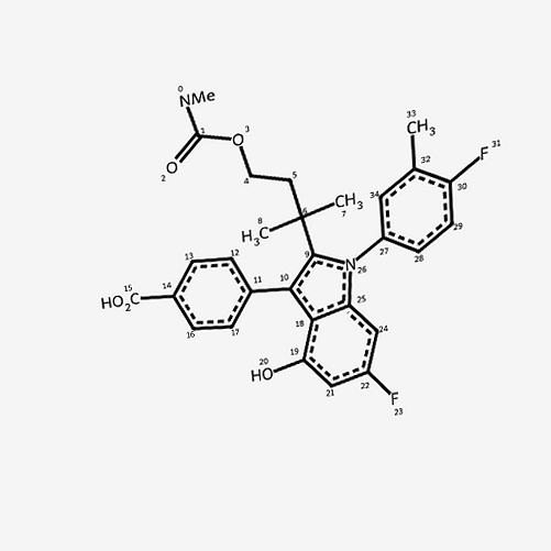 CNC(=O)OCCC(C)(C)c1c(-c2ccc(C(=O)O)cc2)c2c(O)cc(F)cc2n1-c1ccc(F)c(C)c1